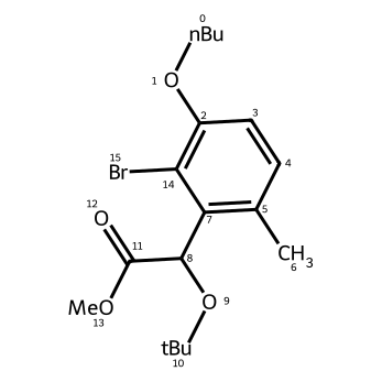 CCCCOc1ccc(C)c(C(OC(C)(C)C)C(=O)OC)c1Br